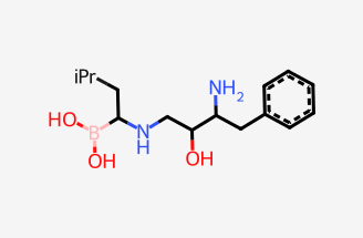 CC(C)CC(NCC(O)C(N)Cc1ccccc1)B(O)O